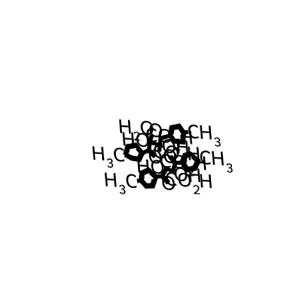 Cc1ccc(C(=O)C(O)(C(=O)O)C(O)(C(=O)O)C(=O)c2ccc(C)cc2)cc1.Cc1ccc(C(=O)C(O)(C(=O)O)C(O)(C(=O)O)C(=O)c2ccc(C)cc2)cc1.O